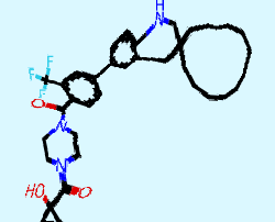 O=C(c1ccc(-c2ccc3c(c2)CC2(CCCCCCCCCCC2)CN3)cc1C(F)(F)F)N1CCN(C(=O)C2(O)CC2)CC1